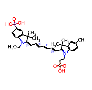 CCN1/C(=C/C=C/C=C/C=C/C2=[N+](CCS(=O)(=O)O)c3ccc(C)cc3C2(C)C)C(C)(C)c2cc(P(=O)(O)O)ccc21